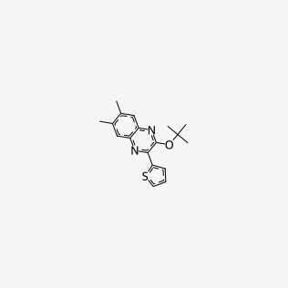 Cc1cc2nc(OC(C)(C)C)c(-c3cccs3)nc2cc1C